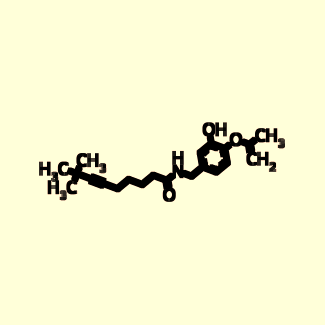 C=C(C)Oc1ccc(CNC(=O)CCCCC#CC(C)(C)C)cc1O